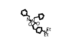 CCN(CC)c1ccc(/C=C2/O/C(=N/Cc3ccccc3)N(Cc3ccccc3)C2=O)cc1